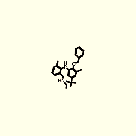 CCNCc1cccc(C)c1Pc1cc(C(C)(C)C)cc(C)c1OCc1ccccc1